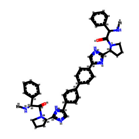 CCNC(C(=O)N1CCC[C@H]1c1nc(-c2ccc(-c3ccc(-c4cnc([C@@H]5CCCN5C(=O)[C@H](NCC)c5ccccc5)[nH]4)cc3)cc2)c[nH]1)c1ccccc1